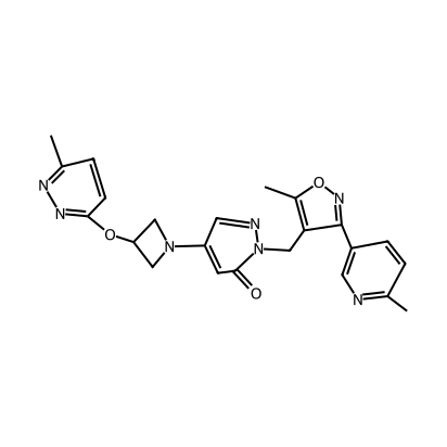 Cc1ccc(-c2noc(C)c2Cn2ncc(N3CC(Oc4ccc(C)nn4)C3)cc2=O)cn1